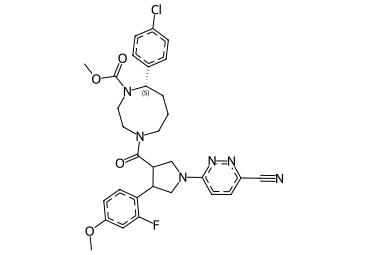 COC(=O)N1CCN(C(=O)C2CN(c3ccc(C#N)nn3)CC2c2ccc(OC)cc2F)CCC[C@H]1c1ccc(Cl)cc1